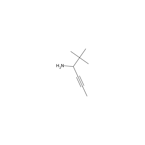 CC#CC(N)C(C)(C)C